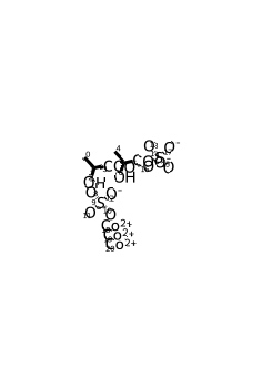 CC(O)C(=O)[O-].CC(O)C(=O)[O-].O=S(=O)([O-])[O-].O=S(=O)([O-])[O-].[Co+2].[Co+2].[Co+2]